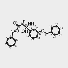 CC(C(=O)OCc1ccccc1)C(N)(O)c1cccc(OCc2ccccc2)c1